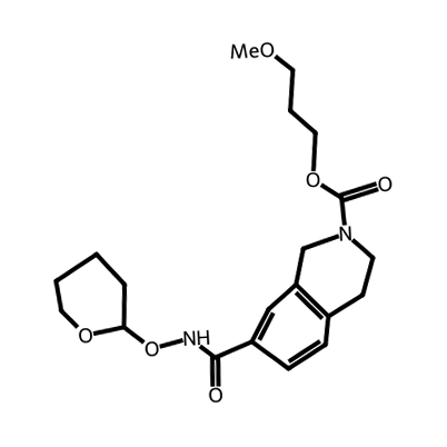 COCCCOC(=O)N1CCc2ccc(C(=O)NOC3CCCCO3)cc2C1